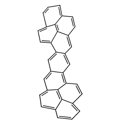 c1cc2ccc3cc4cc5c(cc6ccc7cccc8ccc5c6c78)cc4c4ccc(c1)c2c34